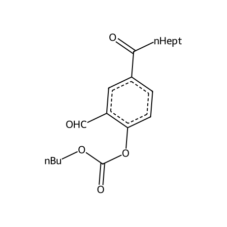 CCCCCCCC(=O)c1ccc(OC(=O)OCCCC)c(C=O)c1